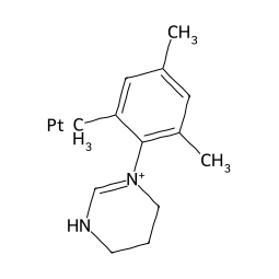 Cc1cc(C)c([N+]2=CNCCC2)c(C)c1.[Pt]